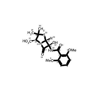 COc1cccc(OC)c1C(=O)N[C@]1(O)C(=O)N2[C@@H](C(=O)O)C(C)(C)S[C@@H]21